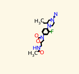 CCC1CN(C#N)CCN1c1ccc(N2CC(CNC(C)=O)OC2=O)cc1F